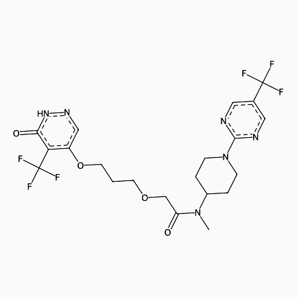 CN(C(=O)COCCCOc1cn[nH]c(=O)c1C(F)(F)F)C1CCN(c2ncc(C(F)(F)F)cn2)CC1